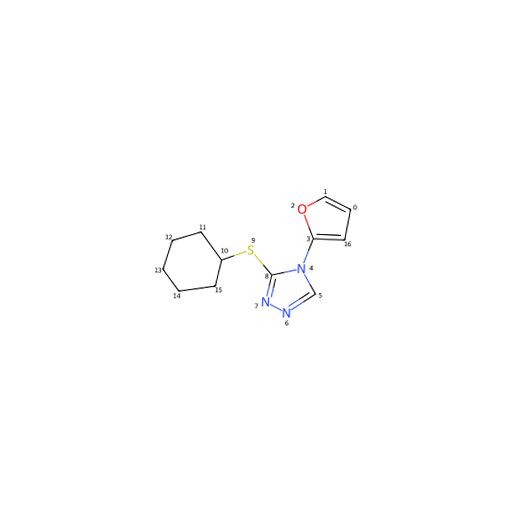 c1coc(-n2cnnc2SC2CCCCC2)c1